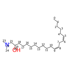 CCCCC/C=C\C/C=C\CCCCCCCCCC(O)CN(C)C